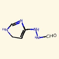 O=CNNC1=CCNC=N1